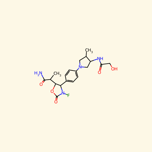 CC1CN(c2ccc(C3C(C(C)C(N)=O)OC(=O)N3F)cc2)CC1NC(=O)CO